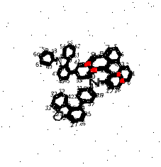 c1ccc(-c2cccc3cccc(-c4ccccc4N(c4ccc(-c5cccc6oc7ccccc7c56)cc4)c4cccc(-c5cccc6c5c5ccccc5n6-c5ccccc5)c4)c23)cc1